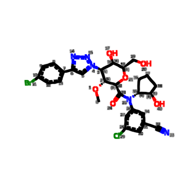 CO[C@@H]1[C@@H](n2cc(-c3ccc(Br)cc3)nn2)[C@@H](O)[C@@H](CO)O[C@H]1C(=O)N(c1cc(Cl)cc(C#N)c1)[C@@H]1CCC[C@H]1O